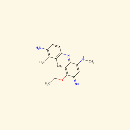 CCOC1=C/C(=N\c2ccc(N)c(C)c2C)C(NC)=CC1=N